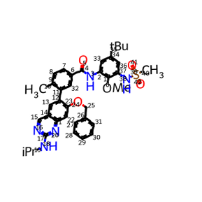 COc1c(NC(=O)c2ccc(C)c(-c3cc4cnc(NC(C)C)nc4cc3OCc3ccccc3)c2)cc(C(C)(C)C)cc1NS(C)(=O)=O